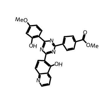 COC(=O)c1ccc(-c2nc(-c3ccc(OC)cc3O)nc(-c3ccc4ncccc4c3O)n2)cc1